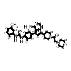 Nc1ncnn2c(C3CCN(C(=O)CN4CCOCC4)CC3)cc(-c3ccc(NC(=O)Nc4cc(C(F)(F)F)ccc4F)c(F)c3)c12